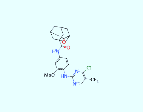 COc1cc(NC(=O)C23CC4CC(C2)C(=O)C(C4)C3)ccc1Nc1ncc(C(F)(F)F)c(Cl)n1